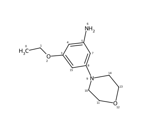 CCOc1cc(N)cc(N2CCOCC2)c1